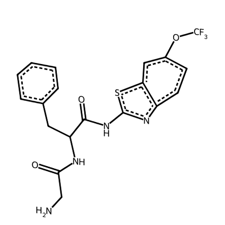 NCC(=O)NC(Cc1ccccc1)C(=O)Nc1nc2ccc(OC(F)(F)F)cc2s1